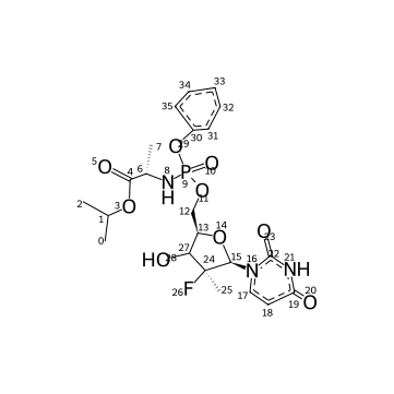 CC(C)OC(=O)[C@H](C)NP(=O)(OC[C@H]1O[C@@H](n2ccc(=O)[nH]c2=O)[C@@](C)(F)C1O)Oc1ccccc1